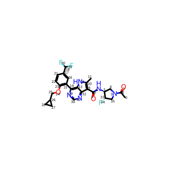 CC(=O)N1C[C@H](NC(=O)c2c(C)[nH]c3c(-c4cc(C(F)F)ccc4OCC4CC4)ncnc23)[C@@H](F)C1